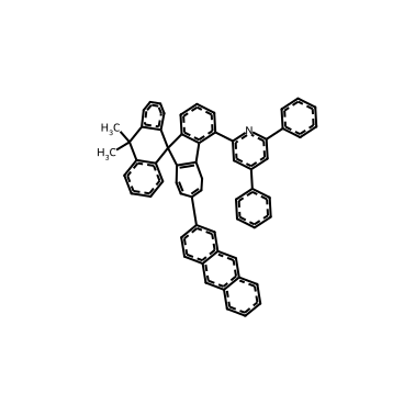 CC1(C)c2ccccc2C2(C3=C(CC=C(c4ccc5cc6ccccc6cc5c4)C=C3)c3c(-c4cc(-c5ccccc5)cc(-c5ccccc5)n4)cccc32)c2ccccc21